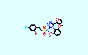 COc1cccc(OC)c1-n1c(NS(=O)(=O)CCc2ccc(F)cc2Br)nnc1-c1ccco1